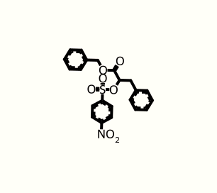 O=C(OCc1ccccc1)C(Cc1ccccc1)OS(=O)(=O)c1ccc([N+](=O)[O-])cc1